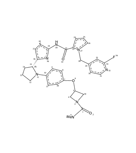 CNC(=O)N1CC(Oc2ccc(N3CCC[C@@H]3c3csc(NC(=O)c4cccn4Cc4ccnc(F)c4)n3)cc2)C1